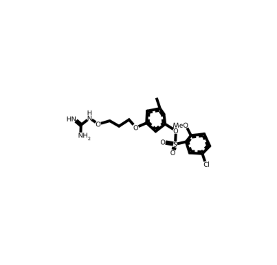 COc1ccc(Cl)cc1S(=O)(=O)Oc1cc(C)cc(OCCCONC(=N)N)c1